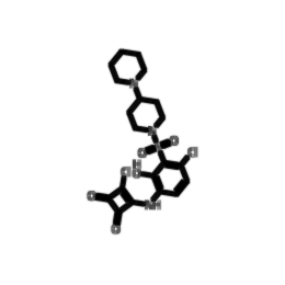 O=c1c(Cl)c(Nc2ccc(Cl)c(S(=O)(=O)N3CCC(N4CCCCC4)CC3)c2O)c1=O